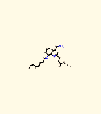 C/C=C\C=C/C=C/C=N/C(/C=C\C)=C(/C=C/CN)\N=C(/C)CCC(C)CC(=O)O